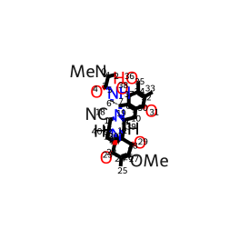 CNC(C)C(=O)NC[C@@H]1C2=C(C[C@H]3C4C5=C(C[C@H]([C@H](C#N)N13)N4C)C(=O)C(C)=C(OC)C5=O)C(=O)C(C)=C(CO)C2=O